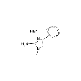 Br.CN1CC(c2ccccc2)N=C1N